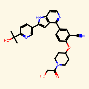 CC(C)(O)c1ccc(-c2cc3c(-c4ccc(OC5CCN(C(=O)CO)CC5)c(C#N)c4)nccc3[nH]2)cn1